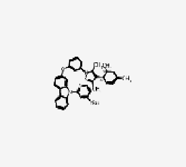 CC1=C=C[C@@H](c2c(C)nn(-c3cccc(Oc4ccc5c6ccccc6n(-c6cc(C(C)(C)C)ccn6)c5c4)c3)c2C)[C@@H](C)C1